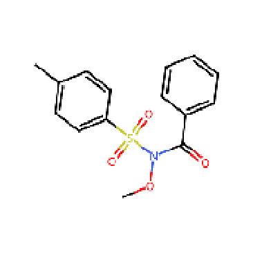 CON(C(=O)c1ccccc1)S(=O)(=O)c1ccc(C)cc1